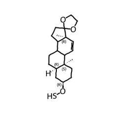 C[C@]12C=CC3C(CC[C@@H]4C[C@H](OS)CC[C@]34C)C1CCC21OCCO1